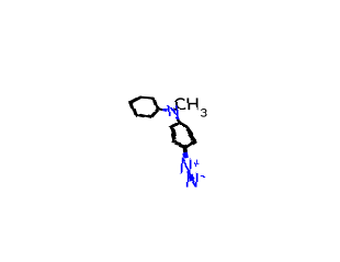 CN(C1C=CC(=[N+]=[N-])C=C1)C1CCCCC1